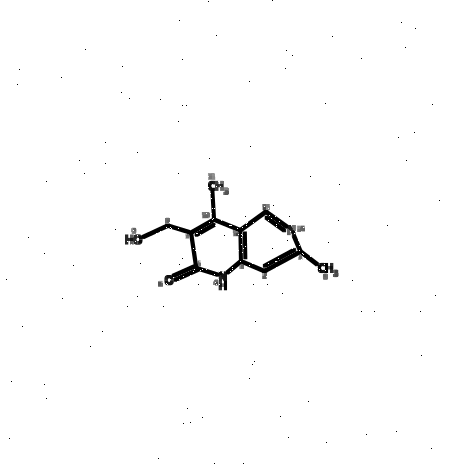 Cc1cc2[nH]c(=O)c(CO)c(C)c2cn1